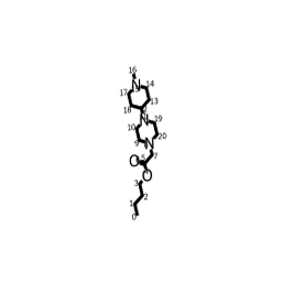 CCCCOC(=O)CN1CCN(C2CCN(C)CC2)CC1